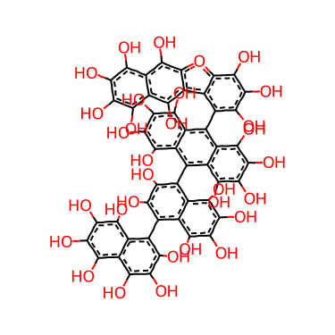 Oc1c(O)c(-c2c3c(O)c(O)c(O)c(O)c3c(-c3c(O)c(O)c(-c4c(O)c(O)c(O)c5c(O)c(O)c(O)c(O)c45)c4c(O)c(O)c(O)c(O)c34)c3c(O)c(O)c(O)c(O)c23)c2c(oc3c(O)c4c(O)c(O)c(O)c(O)c4c(O)c32)c1O